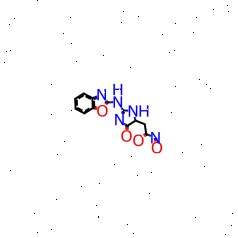 O=NC(=O)CC1NC(Nc2nc3ccccc3o2)=NC1=O